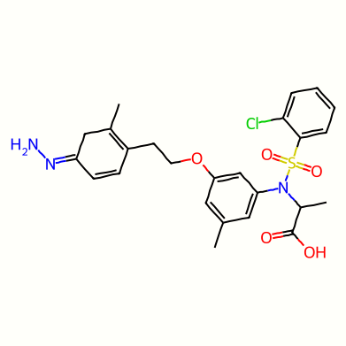 CC1=C(CCOc2cc(C)cc(N(C(C)C(=O)O)S(=O)(=O)c3ccccc3Cl)c2)C=CC(=NN)C1